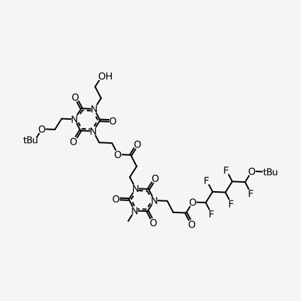 Cn1c(=O)n(CCC(=O)OCCn2c(=O)n(CCO)c(=O)n(CCOC(C)(C)C)c2=O)c(=O)n(CCC(=O)OC(F)C(F)C(F)C(F)C(F)OC(C)(C)C)c1=O